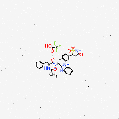 CC(=O)N[C@@H](Cc1ccccc1)C(=O)N[C@H](Cc1ccc(C2CC(=O)NS2(=O)=O)cc1)c1nc2ccccc2[nH]1.O=C(O)C(F)(F)F